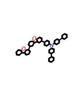 c1ccc(-c2ccc(N(c3ccc(-c4ccccc4)cc3)c3ccc(-c4ccc5oc6ccc(-c7cccc8c7oc7ccccc78)cc6c5c4)cc3)cc2)cc1